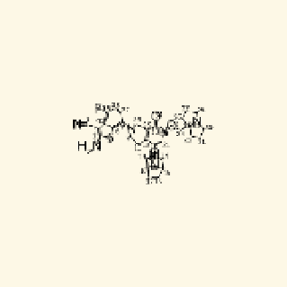 N#Cc1c(N)sc2c(N3CCc4c(N5CC6CCC(C5)N6)cn(OCC56CCCN5CCC6)c(=O)c4C3)ccc(F)c12